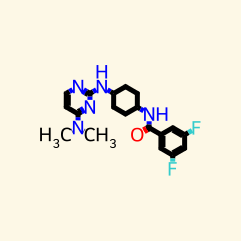 CN(C)c1ccnc(NC2CCC(NC(=O)c3cc(F)cc(F)c3)CC2)n1